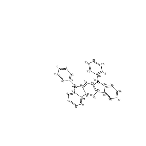 c1ccc(B2c3ccccc3-c3cc4c(cc32)B(c2ccccc2)c2ccccc2-4)cc1